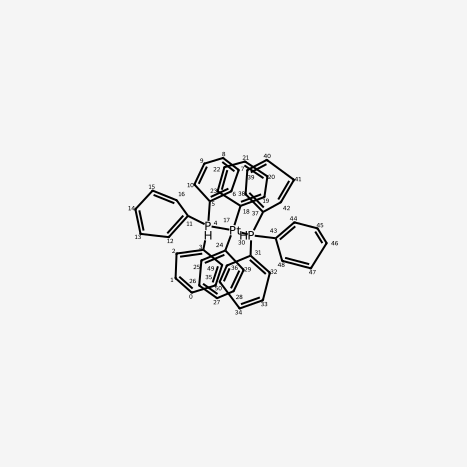 c1ccc([PH](c2ccccc2)(c2ccccc2)[Pt]([c]2ccccc2)([c]2ccccc2)[PH](c2ccccc2)(c2ccccc2)c2ccccc2)cc1